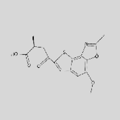 COc1cc2cc(C(=O)C[C@H](C)C(=O)O)sc2c2nc(C)oc12